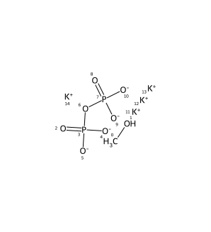 CO.O=P([O-])([O-])OP(=O)([O-])[O-].[K+].[K+].[K+].[K+]